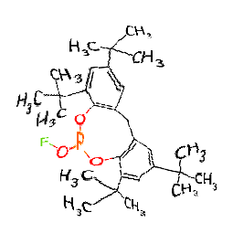 CC(C)(C)c1cc2c(c(C(C)(C)C)c1)OP(OF)Oc1c(cc(C(C)(C)C)cc1C(C)(C)C)C2